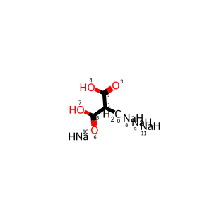 [CH2]C(C(=O)O)C(=O)O.[NaH].[NaH].[NaH].[NaH]